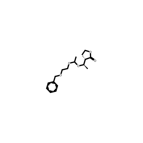 CC(OCCOCc1ccccc1)O[C@H](C)[C@@H]1CCOC1=O